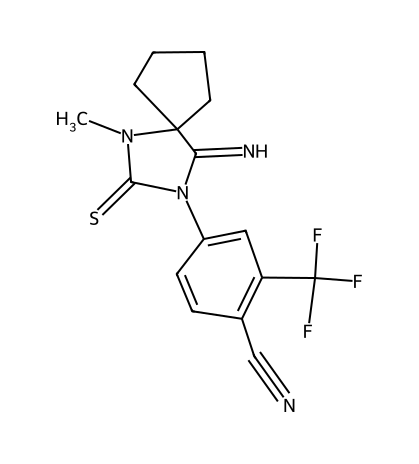 CN1C(=S)N(c2ccc(C#N)c(C(F)(F)F)c2)C(=N)C12CCCC2